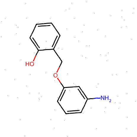 Nc1cccc(OCc2ccccc2O)c1